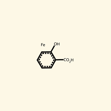 O=C(O)c1ccccc1O.[Fe]